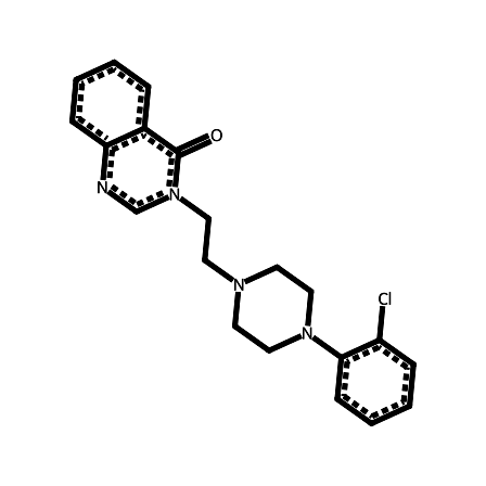 O=c1c2ccccc2ncn1CCN1CCN(c2ccccc2Cl)CC1